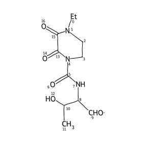 CCN1CCN(C(=O)NC([C]=O)C(C)O)C(=O)C1=O